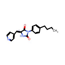 CCCCc1ccc(N2C(=O)N/C(=C\c3ccncc3)C2=O)cc1